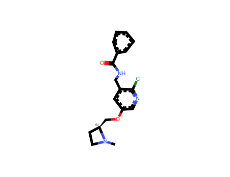 CN1CC[C@H]1COc1cnc(Cl)c(CNC(=O)c2ccccc2)c1